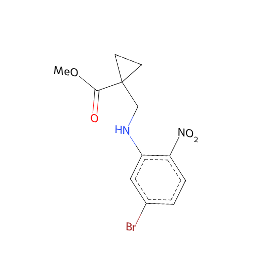 COC(=O)C1(CNc2cc(Br)ccc2[N+](=O)[O-])CC1